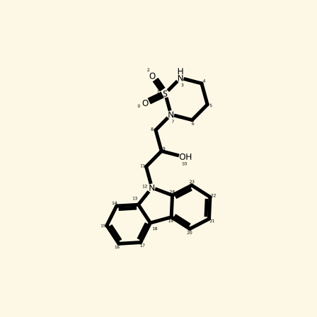 O=S1(=O)NCCCN1CC(O)Cn1c2ccccc2c2ccccc21